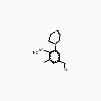 CC(C)Cc1cc(F)c(C#N)c(N2CCNCC2)c1.Cl